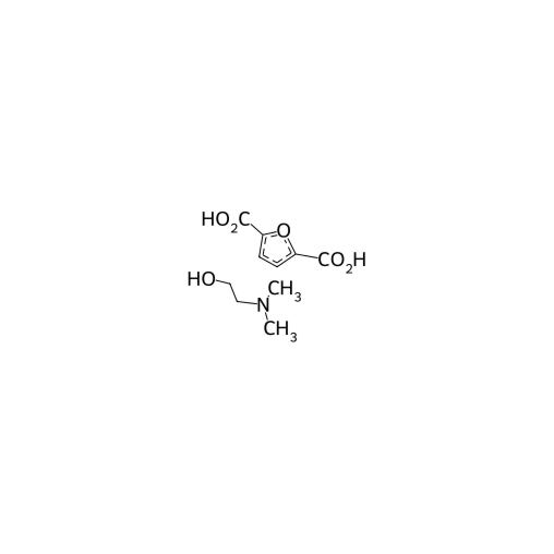 CN(C)CCO.O=C(O)c1ccc(C(=O)O)o1